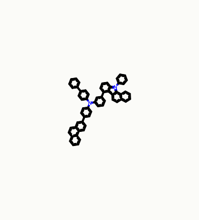 c1ccc(-c2ccc(N(c3ccc(-c4ccc5c(ccc6ccccc65)c4)cc3)c3cccc(-c4cccc5c4c4ccc6ccccc6c4n5-c4ccccc4)c3)cc2)cc1